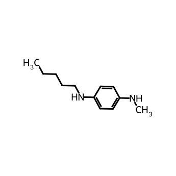 CCCCCNc1ccc(NC)cc1